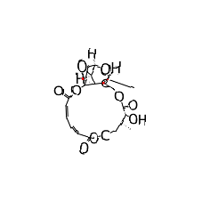 CC1=C[C@H]2O[C@@H]3C[C@H]4OC(=O)/C=C\C=C/C(=O)OCC[C@@H](C)[C@H](O)C(=O)OC[C@@]2(CC1)[C@]4(C)[C@]31CO1